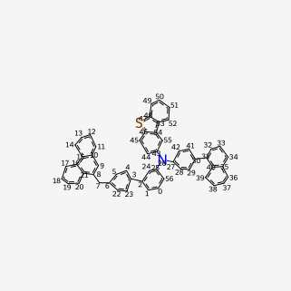 c1cc(-c2ccc(Cc3cc4ccccc4c4ccccc34)cc2)cc(N(c2ccc(-c3cccc4ccccc34)cc2)c2ccc3sc4ccccc4c3c2)c1